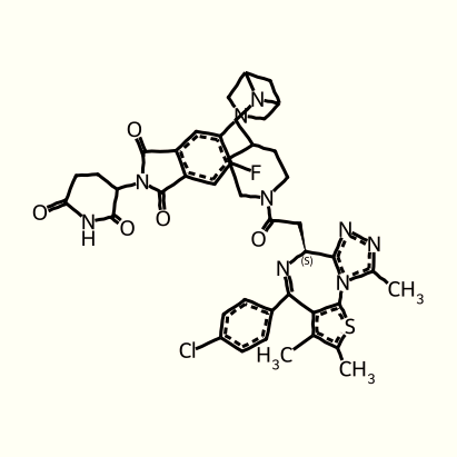 Cc1sc2c(c1C)C(c1ccc(Cl)cc1)=N[C@@H](CC(=O)N1CCC(CN3C4CC3CN(c3cc5c(cc3F)C(=O)N(C3CCC(=O)NC3=O)C5=O)C4)CC1)c1nnc(C)n1-2